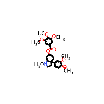 COc1ccc(C23CC=C(OC(=O)c4cc(OC)c(OC)c(OC)c4)CC2N(C)CC3)cc1OC